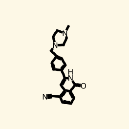 CN1CCN(Cc2ccc(-c3cc4c(C#N)cccc4c(=O)[nH]3)cc2)CC1